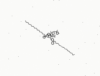 CCCCCCCCCCCCCCCC(=O)OCC(COC(=O)CCCCCCCCCCCCCCC)NC(=O)C(C)OCC(C)OC